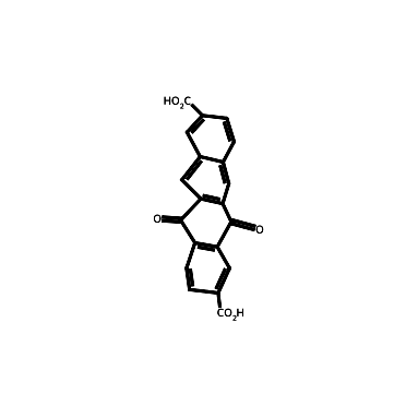 O=C(O)c1ccc2c(c1)C(=O)c1cc3ccc(C(=O)O)cc3cc1C2=O